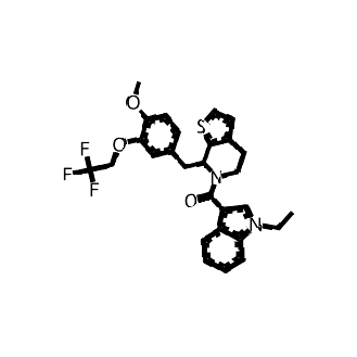 CCn1cc(C(=O)N2CCc3ccsc3C2Cc2ccc(OC)c(OCC(F)(F)F)c2)c2ccccc21